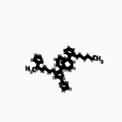 CCCCCCc1ccsc1C1=CC=CC2=C(c3sc(-c4cccs4)cc3CCCCC(C)c3cccs3)C=CC=C1C2